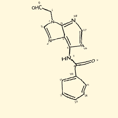 O=CCn1cnc2c(NC(=O)c3ccccc3)ncnc21